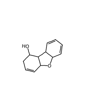 OC1CC=CC2OC3C=CC=CC3C12